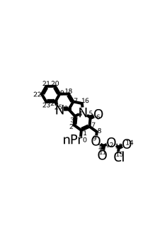 CCCc1cc2n(c(=O)c1COC(=O)OC(=O)Cl)Cc1cc3ccccc3nc1-2